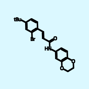 CC(C)(C)c1ccc(/C=C/C(=O)Nc2ccc3c(c2)OCCO3)c(Br)c1